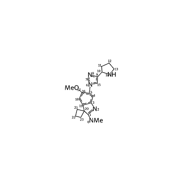 CNC1=Nc2cc(-n3cnc(C4CCCN4)c3)c(OC)cc2C12CCC2